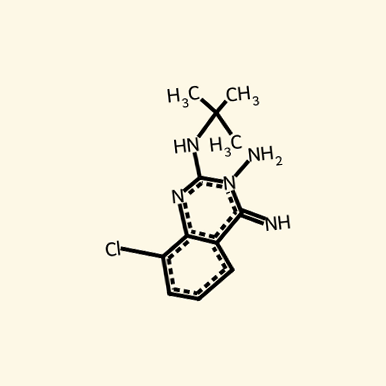 CC(C)(C)Nc1nc2c(Cl)cccc2c(=N)n1N